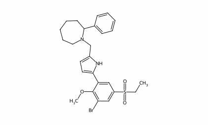 CCS(=O)(=O)c1cc(Br)c(OC)c(-c2ccc(CN3CCCCCC3c3ccccc3)[nH]2)c1